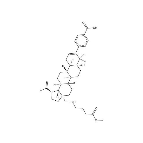 C=C(C)[C@@H]1CC[C@]2(CNCCCC(=O)OC)CC[C@]3(C)[C@H](CC[C@@H]4[C@@]5(C)CC=C(c6ccc(C(=O)O)cc6)C(C)(C)[C@@H]5CC[C@]43C)[C@@H]12